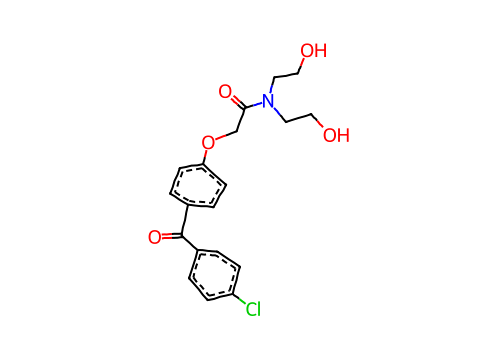 O=C(c1ccc(Cl)cc1)c1ccc(OCC(=O)N(CCO)CCO)cc1